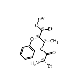 CCCO[C@@H](CC)[C@@H](Oc1ccccc1)[C@H](C)OC(=O)[C@@H](N)CC